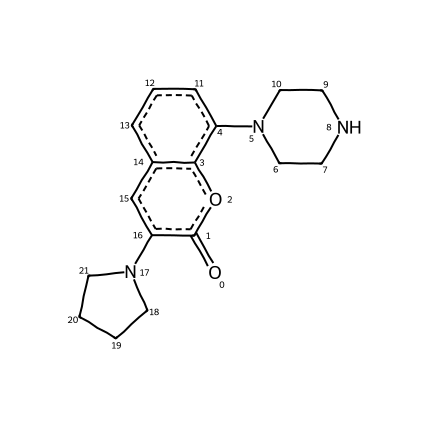 O=c1oc2c(N3CCNCC3)cccc2cc1N1CCCC1